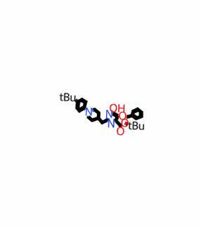 CC(C)(C)OC(=O)c1nc(CC2CCN(c3ccc(C(C)(C)C)cc3)CC2)nc(O)c1OCc1ccccc1